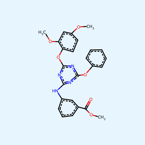 COC(=O)c1cccc(Nc2nc(Oc3ccccc3)nc(Oc3ccc(OC)cc3OC)n2)c1